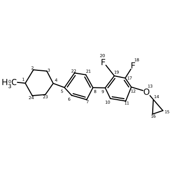 CC1CCC(c2ccc(-c3ccc(OC4CC4)c(F)c3F)cc2)CC1